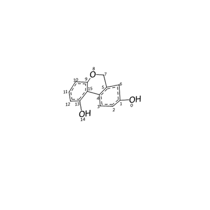 Oc1ccc2c(c1)COc1cccc(O)c1-2